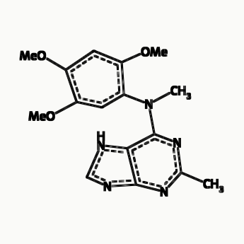 COc1cc(OC)c(N(C)c2nc(C)nc3nc[nH]c23)cc1OC